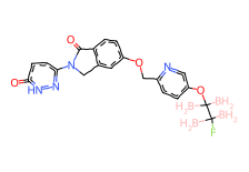 BC(B)(F)C(B)(B)Oc1ccc(COc2ccc3c(c2)CN(c2ccc(=O)[nH]n2)C3=O)nc1